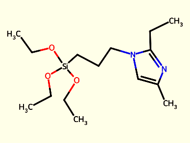 CCO[Si](CCCn1cc(C)nc1CC)(OCC)OCC